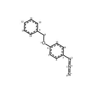 [N-]=[N+]=Nc1ccc(OCc2ccccc2)cc1